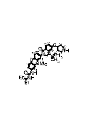 CCC(CC)NC(=O)Nc1ccc(Oc2ccc(N(CCN(C)C)C(=O)c3ccc(OC4CCNCC4)cc3)cc2)c(OC)c1